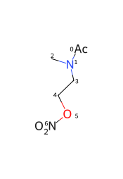 [CH2]C(=O)N(C)CCO[N+](=O)[O-]